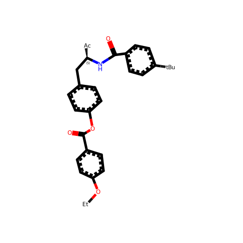 CCOc1ccc(C(=O)Oc2ccc(C[C@H](NC(=O)c3ccc(C(C)(C)C)cc3)C(C)=O)cc2)cc1